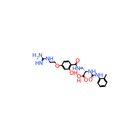 Cc1ccccc1NC(=O)N[C@@H](CNC(=O)c1ccc(OCCNC(=N)N)cc1O)C(=O)O